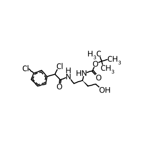 CC(C)(C)OC(=O)N[C@@H](CCO)CNC(=O)C(Cl)c1cccc(Cl)c1